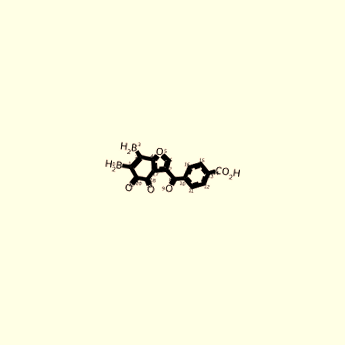 BC1=C(B)c2occ(C(=O)c3ccc(C(=O)O)cc3)c2C(=O)C1=O